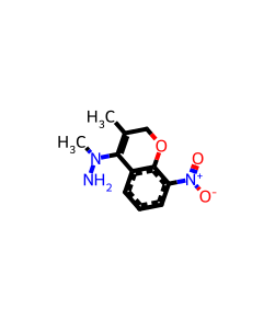 CC1=C(N(C)N)c2cccc([N+](=O)[O-])c2OC1